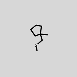 CSCC1(C)CCCC1